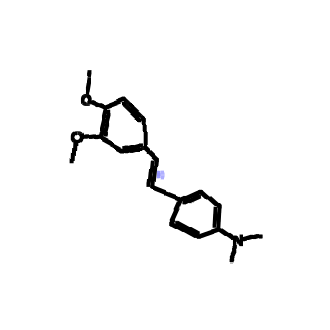 COc1ccc(/C=C/c2ccc(N(C)C)cc2)cc1OC